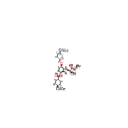 COC1CCC(COc2ccc(OC(=O)C3CCC(OC)CC3)c3c2S/C(=C(/C#N)C(=O)OC(C)C)S3)CC1